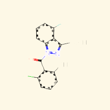 Cc1cccc(Cl)c1C(=O)n1nc(C(=O)O)c2c(F)cccc21